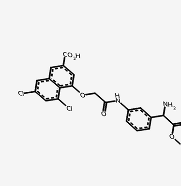 CC(C)(C)OC(=O)C(N)c1cccc(NC(=O)COc2cc(C(=O)O)cc3cc(Cl)cc(Cl)c23)c1